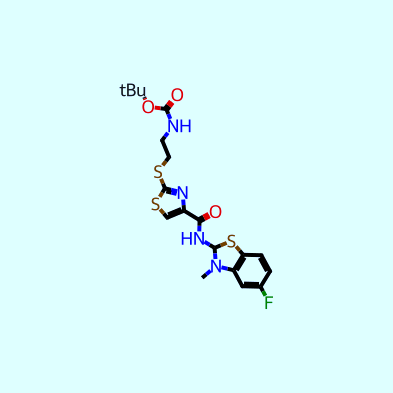 CN1c2cc(F)ccc2SC1NC(=O)c1csc(SCCNC(=O)OC(C)(C)C)n1